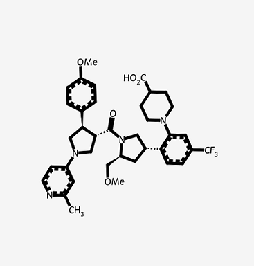 COC[C@@H]1C[C@@H](c2ccc(C(F)(F)F)cc2N2CCC(C(=O)O)CC2)CN1C(=O)[C@@H]1CN(c2ccnc(C)c2)C[C@H]1c1ccc(OC)cc1